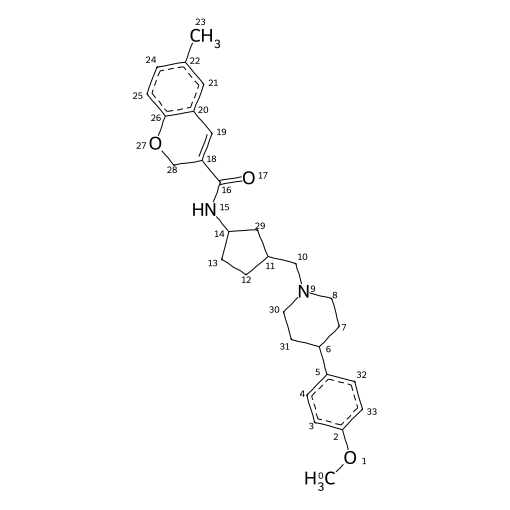 COc1ccc(C2CCN(CC3CCC(NC(=O)C4=Cc5cc(C)ccc5OC4)C3)CC2)cc1